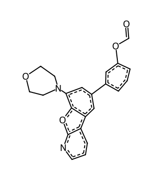 O=COc1cccc(-c2cc(N3CCOCC3)c3oc4ncccc4c3c2)c1